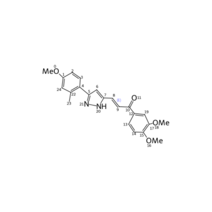 COc1ccc(-c2cc(/C=C/C(=O)c3ccc(OC)c(OC)c3)[nH]n2)c(C)c1